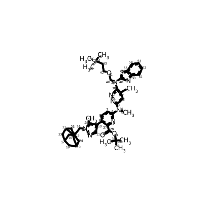 Cc1cc(N(C)c2ccc(-c3cnn(CC45CC6CC(CC(C6)C4)C5)c3C)c(C(=O)OC(C)(C)C)n2)nnc1N(COCC[Si](C)(C)C)c1nc2ccccc2s1